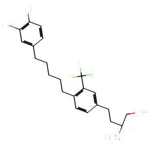 C[C@@](N)(CO)CCc1ccc(CCCCCc2ccc(Cl)c(Cl)c2)c(C(F)(F)F)c1